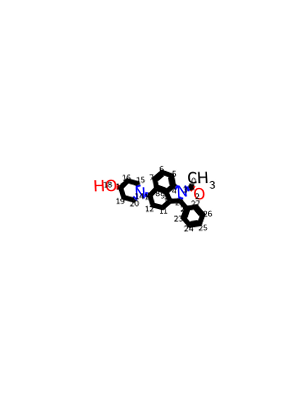 CC(=O)N1c2cccc3c2C(CCC3N2CCC(O)CC2)C1c1ccccc1